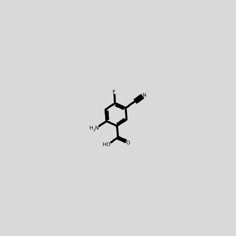 N#Cc1cc(C(=O)O)c(N)cc1F